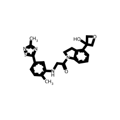 Cc1nsc(-c2ccc(C)c(NCC(=O)N3CCc4c3cccc4C3(O)COC3)c2)n1